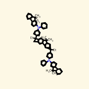 CCC1(c2ccc(N(c3ccccc3)c3ccc4c(c3)C(C)(C)c3ccccc3-4)cc2)Cc2cc3c(cc21)C(C)(C)c1cc2c(cc1-3)C2(CC)c1ccc(N(c2ccccc2)c2ccc3c(c2)C(C)(C)C2C=CC=CC32)cc1